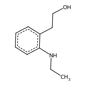 CCNc1ccccc1CCO